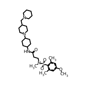 COc1cc(C)c(S(=O)(=O)N(C)CCC(=O)NC2CCC(N3CCC(CN4CCCCC4)CC3)CC2)c(C)c1